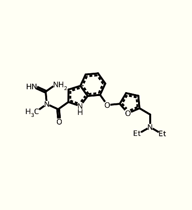 CCN(CC)Cc1ccc(Oc2cccc3cc(C(=O)N(C)C(=N)N)[nH]c23)o1